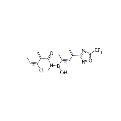 C=C(C(=O)N(C)B(O)/C(C)=C/C(=C)c1noc(C(F)(F)F)n1)/C(Cl)=C\C